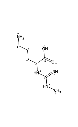 CNC(=N)NC(CCCN)C(=O)O